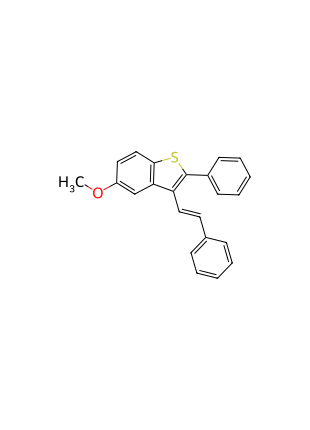 COc1ccc2sc(-c3ccccc3)c(C=Cc3ccccc3)c2c1